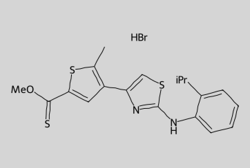 Br.COC(=S)c1cc(-c2csc(Nc3ccccc3C(C)C)n2)c(C)s1